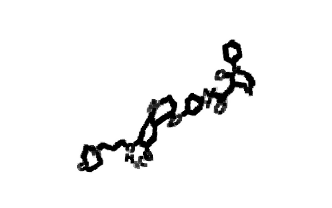 COc1cc2c(Oc3ccc(NC(=O)c4nccn(-c5ccccc5)c4=O)cc3)ccnc2cc1OCCCN1CCOCC1